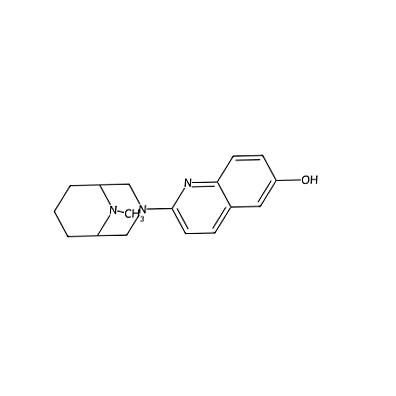 CN1C2CCCC1CN(c1ccc3cc(O)ccc3n1)C2